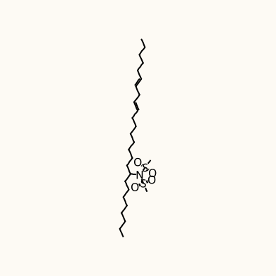 CCCCC/C=C/C/C=C/CCCCCCCC(CCCCCCCC)N(S(C)(=O)=O)S(C)(=O)=O